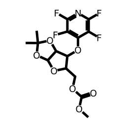 COC(=O)OCC1OC2OC(C)(C)OC2C1Oc1c(F)c(F)nc(F)c1F